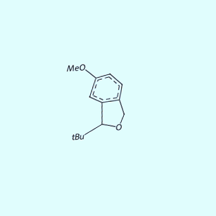 COc1ccc2c(c1)C(C(C)(C)C)OC2